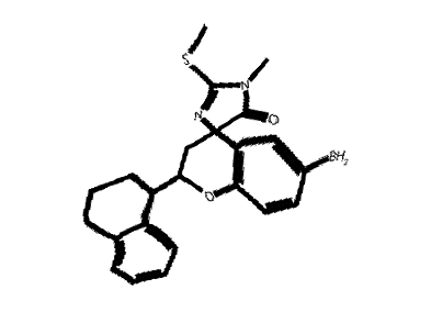 Bc1ccc2c(c1)C1(CC(C3CCCc4ccccc43)O2)N=C(SC)N(C)C1=O